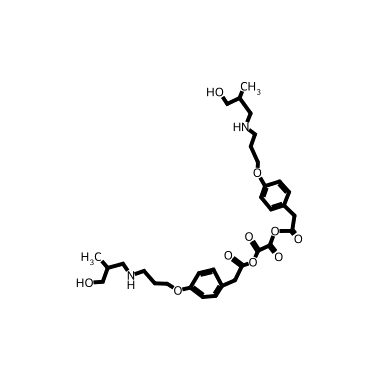 CC(CO)CNCCCOc1ccc(CC(=O)OC(=O)C(=O)OC(=O)Cc2ccc(OCCCNCC(C)CO)cc2)cc1